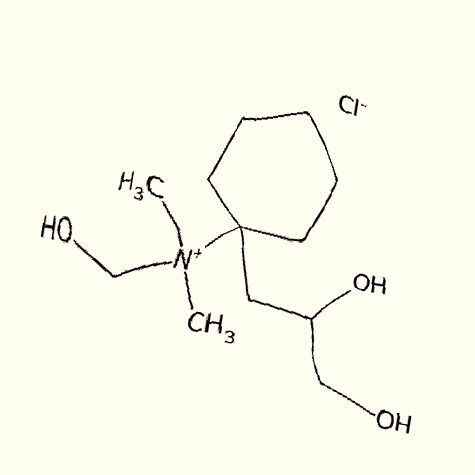 C[N+](C)(CO)C1(CC(O)CO)CCCCC1.[Cl-]